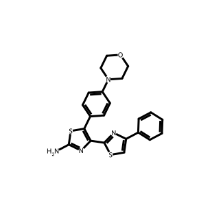 Nc1nc(-c2nc(-c3ccccc3)cs2)c(-c2ccc(N3CCOCC3)cc2)s1